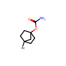 CC(=O)C12CCC(OC(N)=O)(CC1)C2